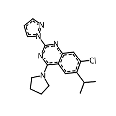 CC(C)c1cc2c(N3CCCC3)nc(-n3cccn3)nc2cc1Cl